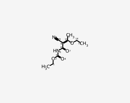 CCOC(=O)NC(=O)/C(C#N)=C(/C)OCC